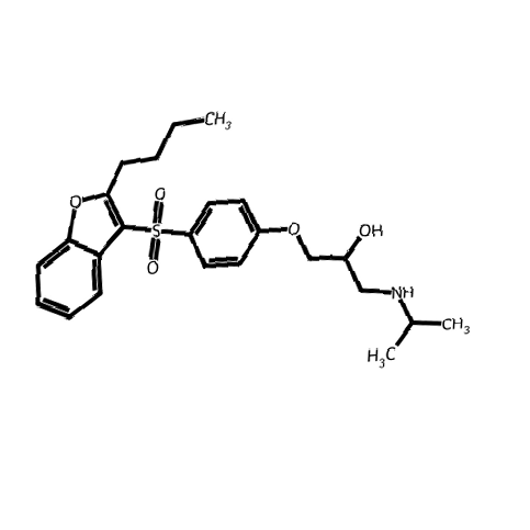 CCCCc1oc2ccccc2c1S(=O)(=O)c1ccc(OCC(O)CNC(C)C)cc1